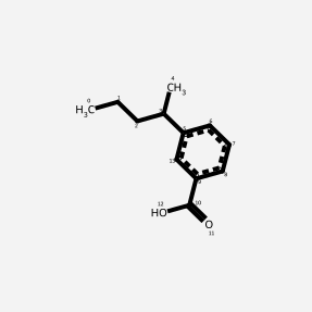 CCCC(C)c1cccc(C(=O)O)c1